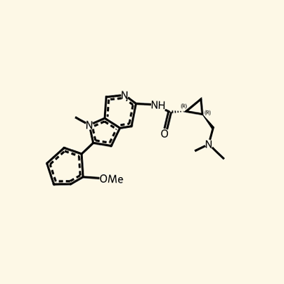 COc1ccccc1-c1cc2cc(NC(=O)[C@@H]3C[C@H]3CN(C)C)ncc2n1C